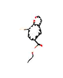 CCOC(=O)c1cc(Br)c2occc2c1